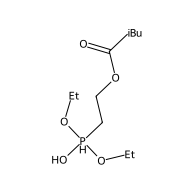 CCO[PH](O)(CCOC(=O)C(C)CC)OCC